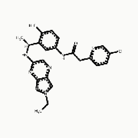 CCn1cc2ncc(N[C@@H](C)c3cc(NC(=O)Cc4ccc(Cl)cn4)ccc3C)nc2n1